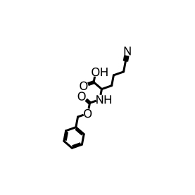 N#CCCCC(NC(=O)OCc1ccccc1)C(=O)O